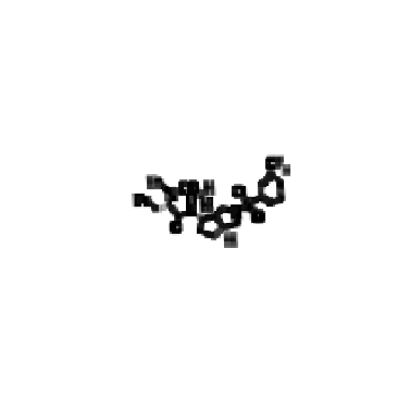 CCN(C(=O)O)[C@@H](CC(C)C)C(=O)N[C@H]1CC[C@@H]2CN(S(=O)(=O)c3cccc(C(F)(F)F)c3)C[C@@H]21